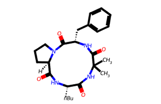 [CH2]CCC[C@@H]1NC(=O)[C@H]2CCCN2C(=O)[C@H](Cc2ccccc2)NC(=O)C(C)(C)NC1=O